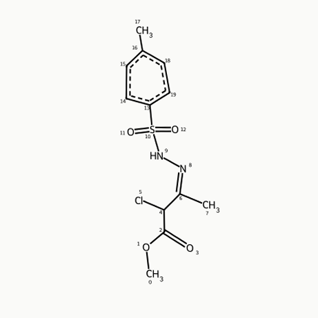 COC(=O)C(Cl)C(C)=NNS(=O)(=O)c1ccc(C)cc1